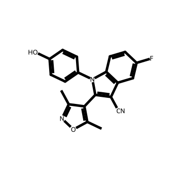 Cc1noc(C)c1-c1c(C#N)c2cc(F)ccc2n1-c1ccc(O)cc1